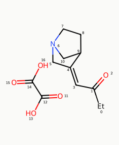 CCC(=O)/C=C1/CN2CCC1C2.O=C(O)C(=O)O